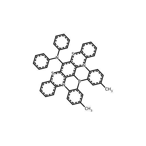 Cc1ccc2c(c1)B1c3cc(C)ccc3-n3c4ccccc4sc4c(N(c5ccccc5)c5ccccc5)c5sc6ccccc6n-2c5c1c43